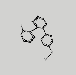 COc1ccc(-c2cn[c]nc2-c2ccccc2F)cc1